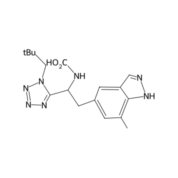 Cc1cc(CC(NC(=O)O)c2nnnn2CC(C)(C)C)cc2cn[nH]c12